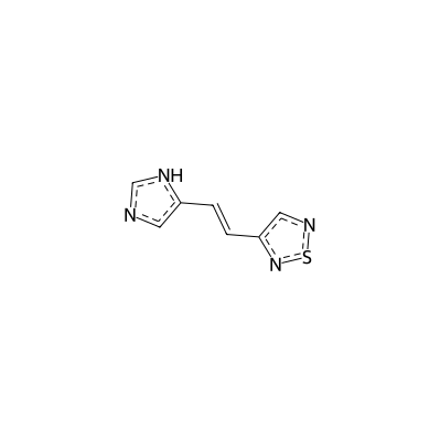 C(=C\c1cnc[nH]1)/c1cnsn1